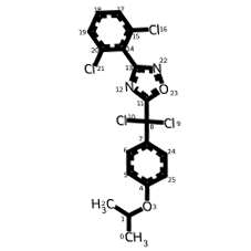 CC(C)Oc1ccc(C(Cl)(Cl)c2nc(-c3c(Cl)cccc3Cl)no2)cc1